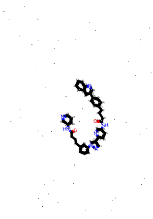 O=C(CCCc1cccc(-n2cc(-c3ccc(NC(=O)CCCc4ccc(-c5cnc6ccccc6c5)cc4)cn3)cn2)c1)Nc1cccnc1